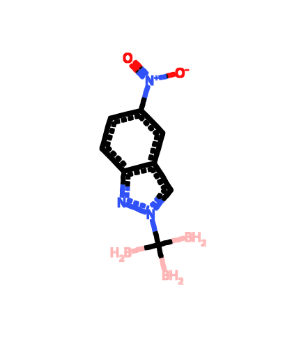 BC(B)(B)n1cc2cc([N+](=O)[O-])ccc2n1